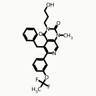 Cn1c(=O)n(CCCO)c(=O)c2c(Cc3ccccc3)c(-c3cccc(OC(C)(F)F)c3)ncc21